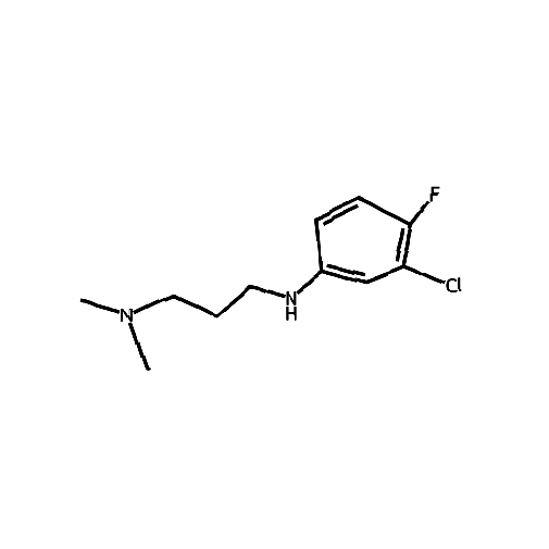 CN(C)CCCNc1ccc(F)c(Cl)c1